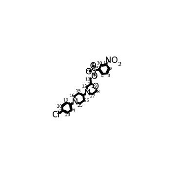 O=[N+]([O-])c1cccc(S(=O)(=O)OCC2CN(C3CCN(c4ccc(Cl)cc4)CC3)CCO2)c1